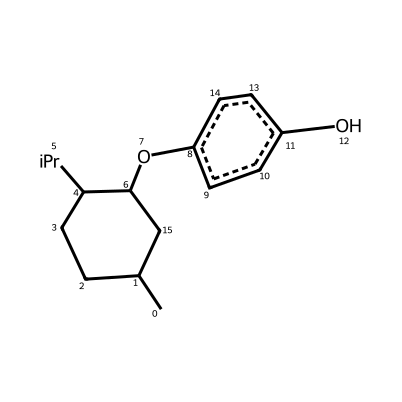 CC1CCC(C(C)C)C(Oc2ccc(O)cc2)C1